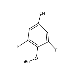 CCCCOc1c(F)cc(C#N)cc1F